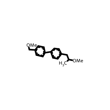 COCc1ccc(-c2ccc(CC(C)OC)cc2)cc1